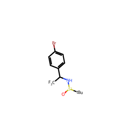 CC(C)(C)[S+]([O-])NC(c1ccc(Br)cc1)C(F)(F)F